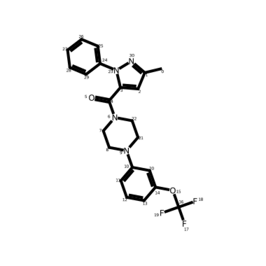 Cc1cc(C(=O)N2CCN(c3cccc(OC(F)(F)F)c3)CC2)n(-c2ccccc2)n1